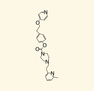 Cc1cccc(CCN2CCN(C(=O)Oc3ccc(CCOc4ccncc4)cc3)CC2)n1